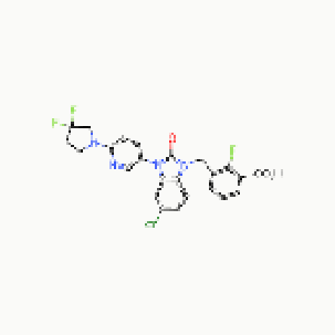 O=C(O)c1cccc(Cn2c(=O)n(-c3ccc(N4CCC(F)(F)C4)nc3)c3cc(Cl)ccc32)c1F